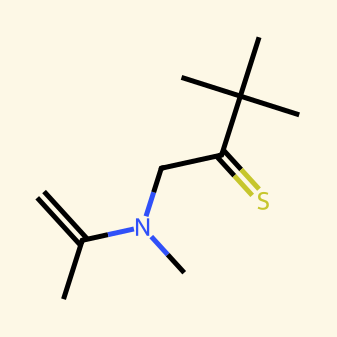 C=C(C)N(C)CC(=S)C(C)(C)C